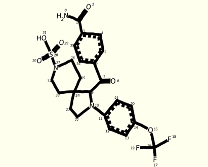 NC(=O)c1ccc(C(=O)C2N(c3ccc(OC(F)(F)F)cc3)CCC23CCN(S(=O)(=O)O)CC3)cc1